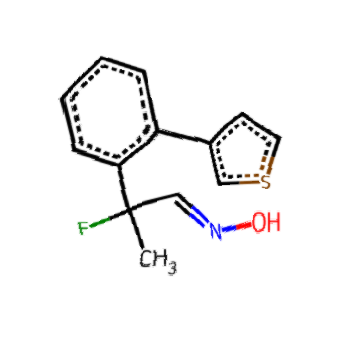 CC(F)(C=NO)c1ccccc1-c1ccsc1